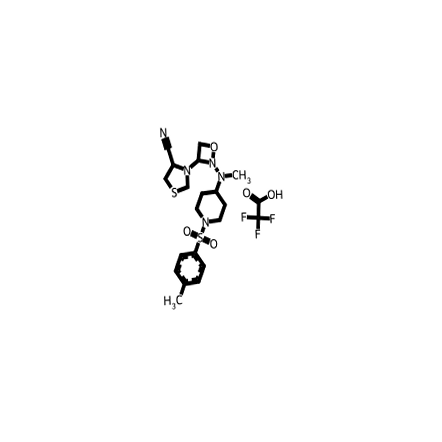 Cc1ccc(S(=O)(=O)N2CCC(N(C)N3OCC3N3CSCC3C#N)CC2)cc1.O=C(O)C(F)(F)F